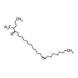 CCCCCCCC/C=C\CCCCCCCCCCCC(=O)C(C)CCC